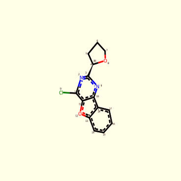 Clc1nc([C@H]2CCCO2)nc2c1oc1ccccc12